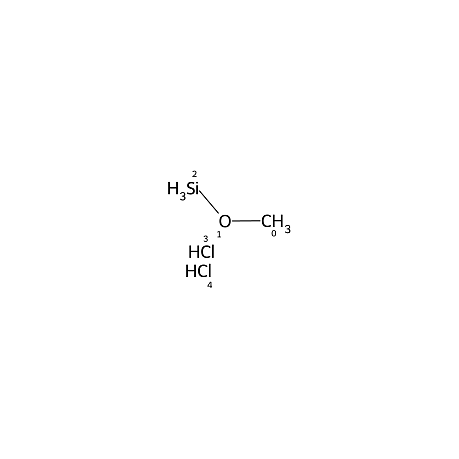 CO[SiH3].Cl.Cl